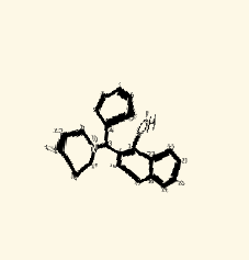 Oc1c(C(c2ccccc2)N2CCCCC2)ccc2ccccc12